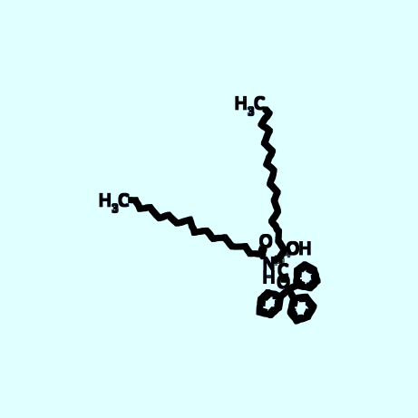 CCCCCCCCCCCCCCCC(=O)N[C@@H](COC(c1ccccc1)(c1ccccc1)c1ccccc1)[C@H](O)CCCCCCCCCCCCCCC